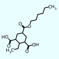 CCCCCCOC(=O)C1CC(C(=O)O)C(CC)C(C(=O)O)C1